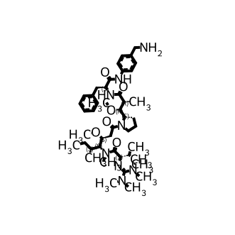 CC[C@H](C)[C@@H]([C@H](CC(=O)N1CCC[C@H]1[C@H](OC)[C@@H](C)C(=O)N[C@@H](Cc1ccccc1)C(=O)Nc1ccc(CN)cc1)OC)N(C)C(=O)[C@@H](N=C(N(C)C)N(C)C)C(C)C